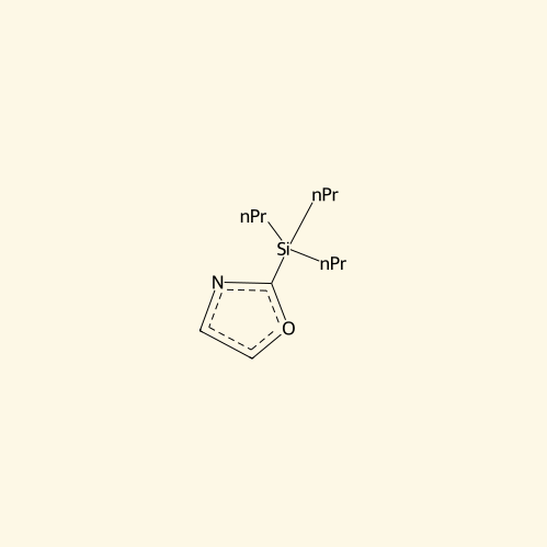 CCC[Si](CCC)(CCC)c1ncco1